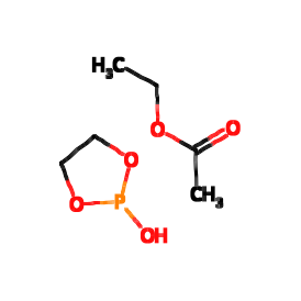 CCOC(C)=O.OP1OCCO1